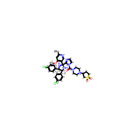 CCOc1cc(C(C)(C)C)ncc1C1(c2nccn2C(=O)N2CCN(C3CCS(=O)(=O)C3)CC2)N[C@@](C)(c2ccc(Cl)cc2)[C@@](C)(c2ccc(Cl)cc2)N1